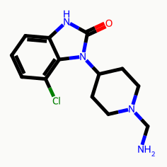 NCN1CCC(n2c(=O)[nH]c3cccc(Cl)c32)CC1